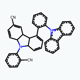 N#CC1=CC2C3C(c4ccccc4-n4c5ccccc5c5ccccc54)=CC=CC3N(c3ccccc3C#N)C2C=C1